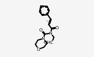 O=[C]CN(C(=O)/C=C/c1ccccc1)C(=O)N1CCOCC1